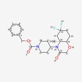 O=C(OCc1ccccc1)N1CCC(N2C(=O)COC3CCC(F)(F)C[C@@H]32)CC1